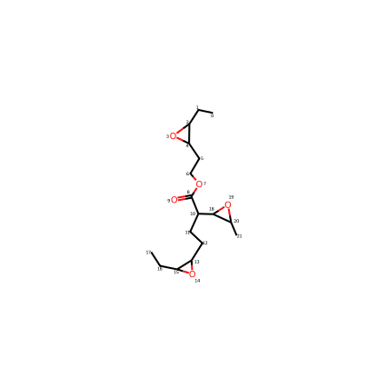 CCC1OC1CCOC(=O)C(CCC1OC1CC)C1OC1C